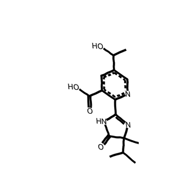 CC(O)c1cnc(C2=NC(C)(C(C)C)C(=O)N2)c(C(=O)O)c1